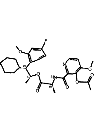 COc1cc(F)ccc1[C@@H](C1CCCCC1)[C@H](C)OC(=O)[C@H](C)NC(=O)c1nccc(OC)c1OC(C)=O